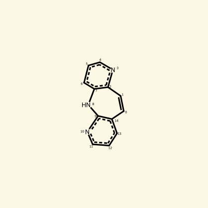 C1=Cc2ncccc2Nc2ncccc21